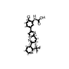 O=C(O)Nc1cc(-c2cn3nc(-c4cccnc4C(F)(F)F)ccc3n2)ccc1Cl